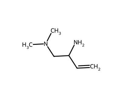 C=CC(N)CN(C)C